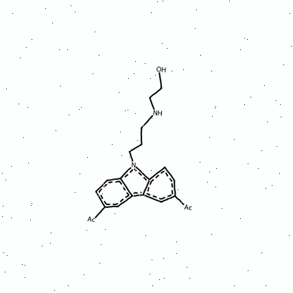 CC(=O)c1ccc2c(c1)c1cc(C(C)=O)ccc1n2CCCNCCO